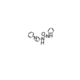 O=C(Nc1ccccc1)Nc1ccn(-c2ccccc2)c1